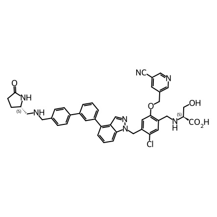 N#Cc1cncc(COc2cc(Cn3ncc4c(-c5cccc(-c6ccc(CNC[C@@H]7CCC(=O)N7)cc6)c5)cccc43)c(Cl)cc2CN[C@@H](CO)C(=O)O)c1